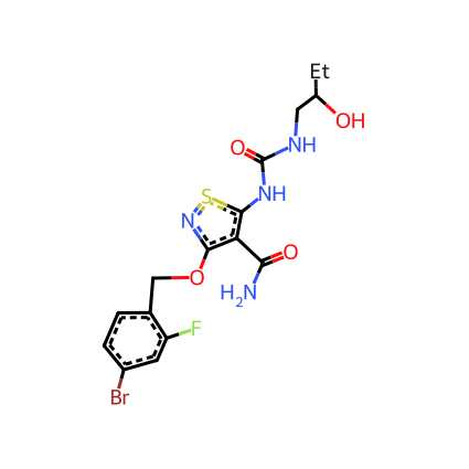 CCC(O)CNC(=O)Nc1snc(OCc2ccc(Br)cc2F)c1C(N)=O